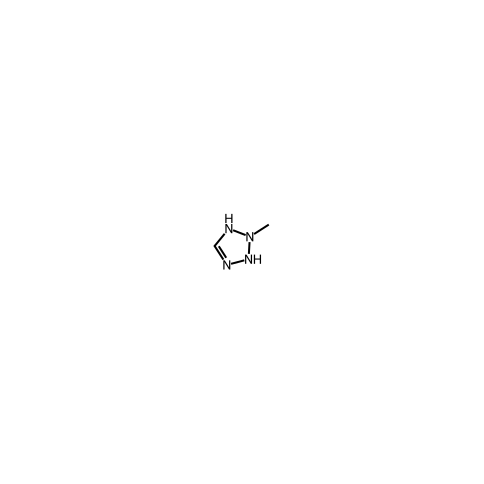 CN1NC=NN1